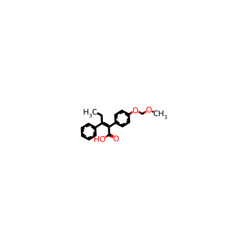 CC/C(=C(/C(=O)O)c1ccc(OCOC)cc1)c1ccccc1